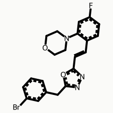 Fc1ccc(/C=C/c2nnc(Cc3cccc(Br)c3)o2)c(N2CCOCC2)c1